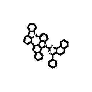 c1ccc(-c2nc(-n3c4cccc5c4c4c(cc6ccccc6c43)c3cccc4c6ccccc6n5c34)nc3c2ccc2ccccc23)cc1